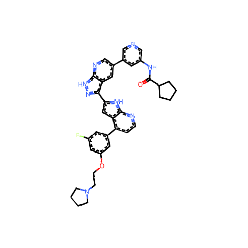 O=C(Nc1cncc(-c2cnc3[nH]nc(-c4cc5c(-c6cc(F)cc(OCCN7CCCC7)c6)ccnc5[nH]4)c3c2)c1)C1CCCC1